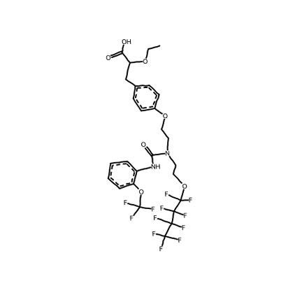 CCOC(Cc1ccc(OCCN(CCOC(F)(F)C(F)(F)C(F)(F)C(F)(F)F)C(=O)Nc2ccccc2OC(F)(F)F)cc1)C(=O)O